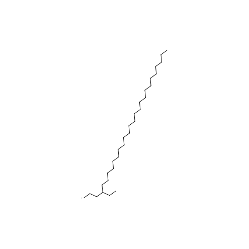 [CH2]CCC(CC)CCCCCCCCCCCCCCCCCCCCCCCC